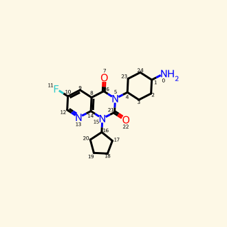 NC1CCC(n2c(=O)c3cc(F)cnc3n(C3CCCC3)c2=O)CC1